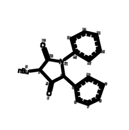 CCCCC1C(=O)C(c2ccccc2)N(c2ccccc2)C1=O